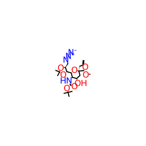 C=CC[C@]1(C(=O)OC)C[C@H](O)[C@@H](NC(=O)OC(C)(C)C)[C@H]([C@H]2OC(C)(C)O[C@H]2CN=[N+]=[N-])O1